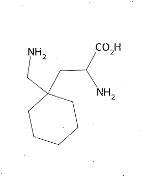 NCC1(CC(N)C(=O)O)CCCCC1